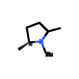 CCC(C)N1C(C)CC[C@H]1C